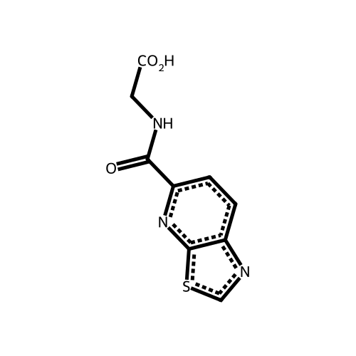 O=C(O)CNC(=O)c1ccc2ncsc2n1